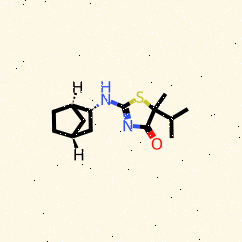 CC(C)C1(C)SC(N[C@@H]2C[C@@H]3CC[C@@H]2C3)=NC1=O